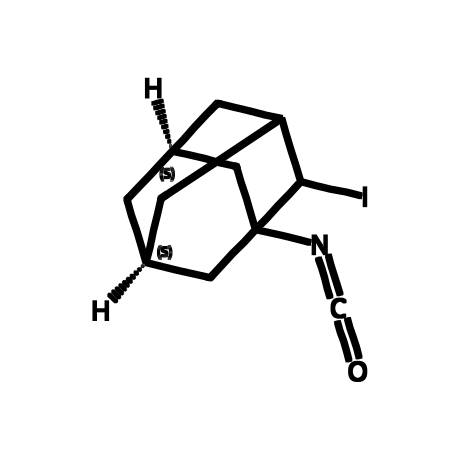 O=C=NC12C[C@@H]3CC(C[C@H](C3)C1)C2I